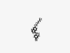 CCSCCOCOc1ccc2c(Nc3ccc(Br)cc3F)ncnc2c1